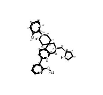 CCOc1ncccc1-c1ccc2c(n1)CN(C[C@H]1CCCN1)CC21CCN(c2ncccc2C(F)(F)F)CC1